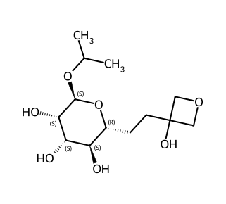 CC(C)O[C@H]1O[C@H](CCC2(O)COC2)[C@@H](O)[C@H](O)[C@@H]1O